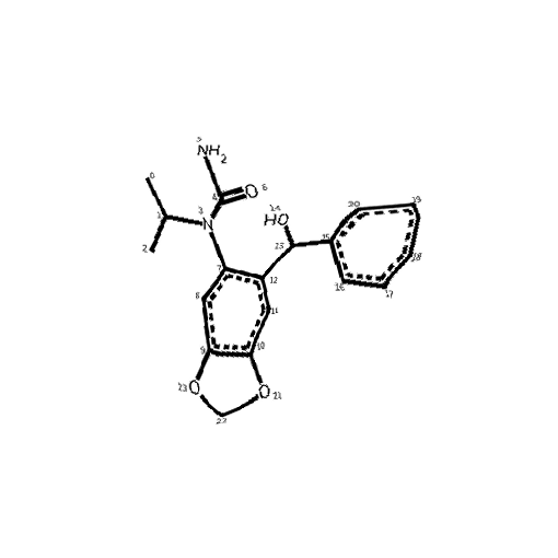 CC(C)N(C(N)=O)c1cc2c(cc1C(O)c1ccccc1)OCO2